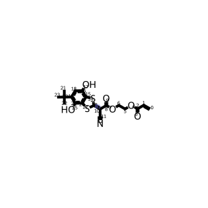 C=CC(=O)OCCOC(=O)/C(C#N)=C1\Sc2c(O)cc(C(C)(C)C)c(O)c2S1